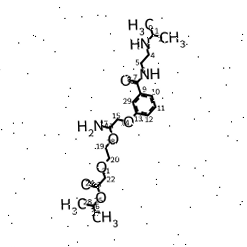 CC(C)NCCNC(=O)c1cccc(OCC(N)OCCOCC(=O)OC(C)C)c1